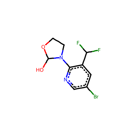 OC1OCCN1c1ncc(Br)cc1C(F)F